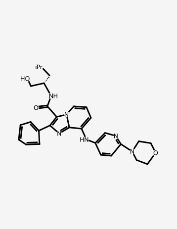 CC(C)C[C@@H](CO)NC(=O)c1c(-c2ccccc2)nc2c(Nc3ccc(N4CCOCC4)nc3)cccn12